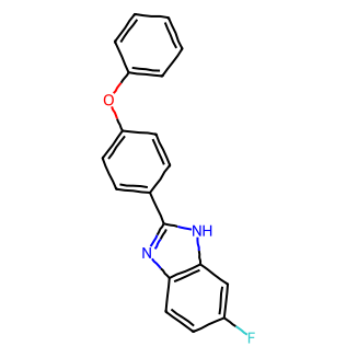 Fc1ccc2nc(-c3ccc(Oc4ccccc4)cc3)[nH]c2c1